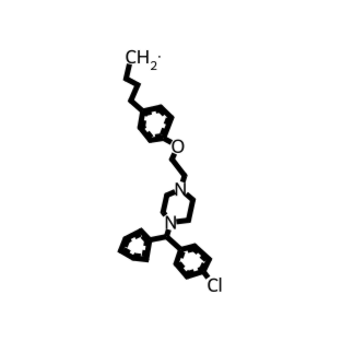 [CH2]CCCc1ccc(OCCN2CCN(C(c3ccccc3)c3ccc(Cl)cc3)CC2)cc1